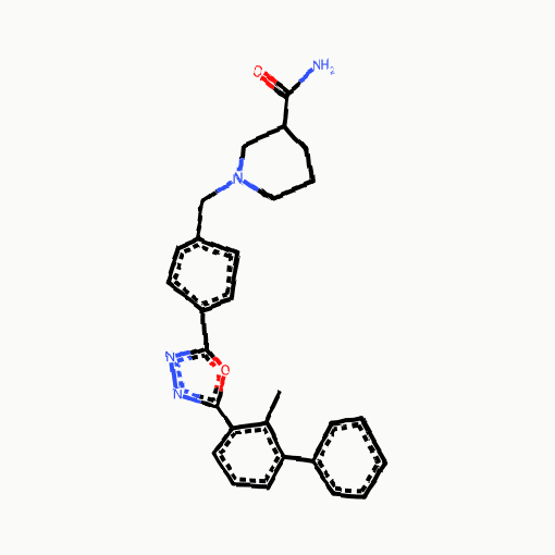 Cc1c(-c2ccccc2)cccc1-c1nnc(-c2ccc(CN3CCCC(C(N)=O)C3)cc2)o1